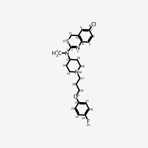 CN(C1=Nc2ccc(Cl)cc2CS1)C1CCN(CCCOc2ccc(F)cc2)CC1